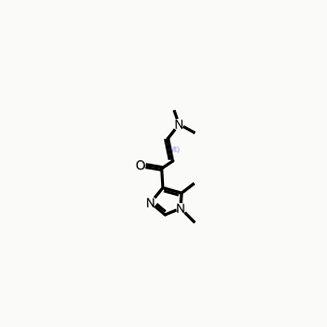 Cc1c(C(=O)/C=C/N(C)C)ncn1C